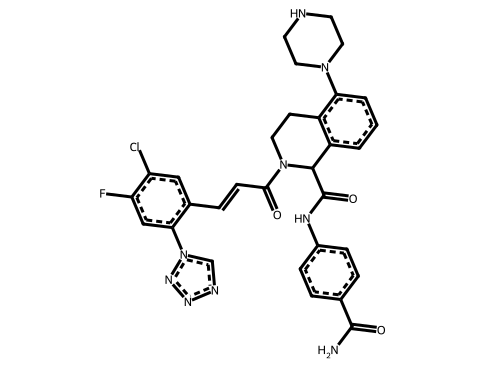 NC(=O)c1ccc(NC(=O)C2c3cccc(N4CCNCC4)c3CCN2C(=O)/C=C/c2cc(Cl)c(F)cc2-n2cnnn2)cc1